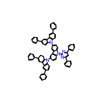 C1=C(c2ccccc2)CCc2c1c1cc(-c3ccccc3)ccc1n2-c1ccc2c(c1)c1cc(-n3c4ccc(-c5ccccc5)cc4c4cc(-c5ccccc5)ccc43)ccc1n2-c1nc(-c2ccccc2)cc(-c2ccccc2)n1